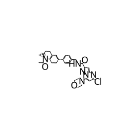 CC(=O)N1c2ccc(-c3ccc(CNC(=O)c4cc5nc(Cl)cc(N6CCOCC6)n5n4)cc3)cc2CC[C@@H]1C